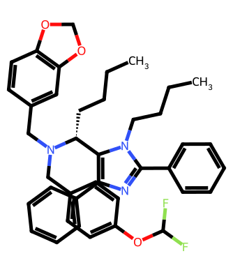 CCCC[C@H](c1c(-c2ccccc2)nc(-c2ccccc2)n1CCCC)N(Cc1ccc(OC(F)F)cc1)Cc1ccc2c(c1)OCO2